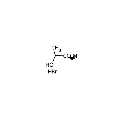 Br.CC(O)C(=O)O.[LiH]